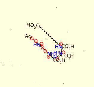 CC(=O)COCCOCCNC(=O)COCCOCCNC(=O)CC[C@H](NC(=O)CC[C@H](NC(=O)CCC(NC(=O)CCCCCCCCCCCCCCCCCCC(=O)O)C(=O)O)C(=O)O)C(=O)O